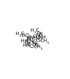 COc1ccc(CNC(=O)c2c(N)n(-c3c(C)ccc4[nH]ncc34)c(=O)c3cc(C)c(Nc4ncc(C)cn4)nc23)c(OC)c1